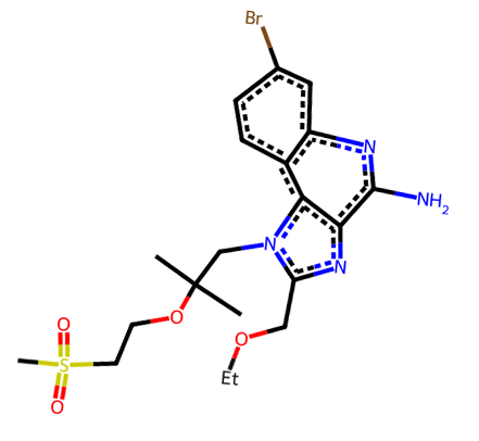 CCOCc1nc2c(N)nc3cc(Br)ccc3c2n1CC(C)(C)OCCS(C)(=O)=O